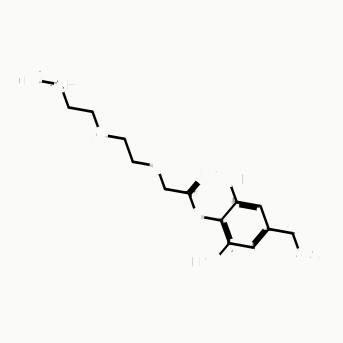 CC(=O)OCc1cc(C)c(OC(=O)COCCOCCNC(C)(C)C)c(C)c1